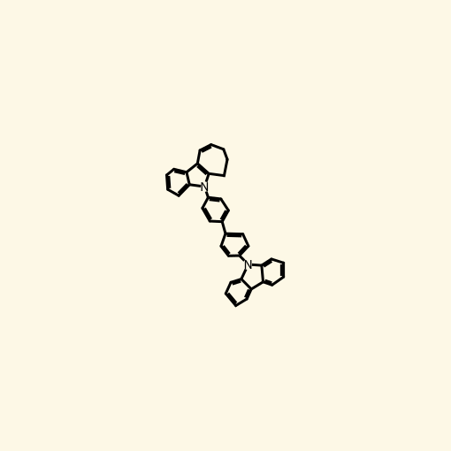 C1=Cc2c(n(-c3ccc(-c4ccc(-n5c6ccccc6c6ccccc65)cc4)cc3)c3ccccc23)CCC1